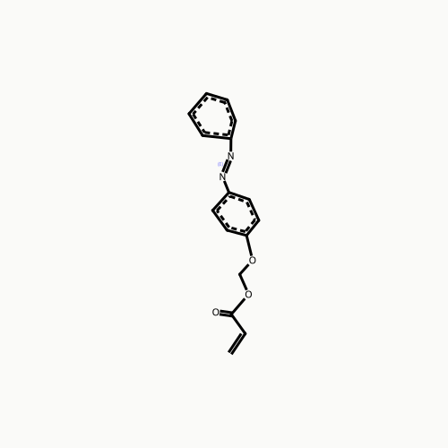 C=CC(=O)OCOc1ccc(/N=N/c2ccccc2)cc1